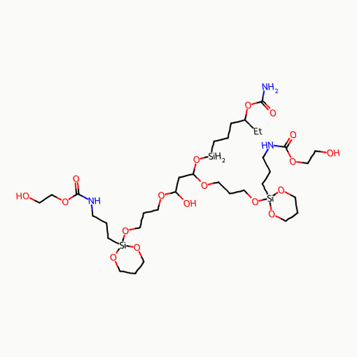 [CH2]CC(CCC[SiH2]OC(CC(O)OCCCO[Si]1(CCCNC(=O)OCCO)OCCCO1)OCCCO[Si]1(CCCNC(=O)OCCO)OCCCO1)OC(N)=O